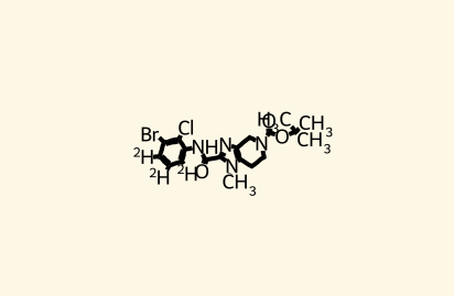 [2H]c1c([2H])c(Br)c(Cl)c(NC(=O)c2nc3c(n2C)CCN(C(=O)OC(C)(C)C)C3)c1[2H]